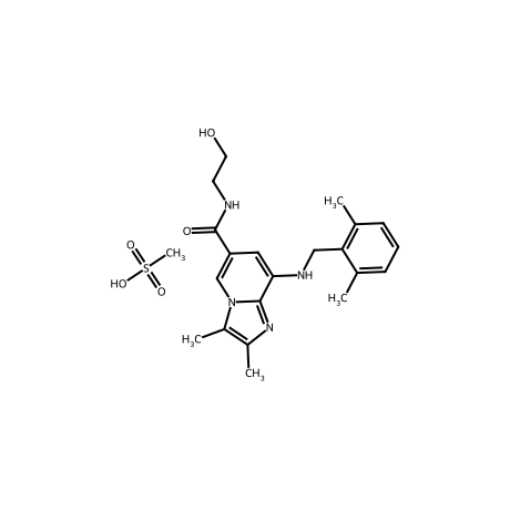 CS(=O)(=O)O.Cc1cccc(C)c1CNc1cc(C(=O)NCCO)cn2c(C)c(C)nc12